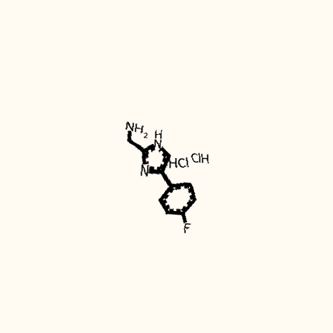 Cl.Cl.NCc1nc(-c2ccc(F)cc2)c[nH]1